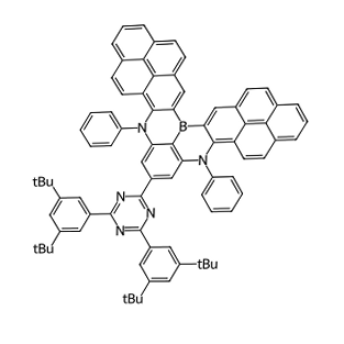 CC(C)(C)c1cc(-c2nc(-c3cc(C(C)(C)C)cc(C(C)(C)C)c3)nc(-c3cc4c5c(c3)N(c3ccccc3)c3c(cc6ccc7cccc8ccc3c6c78)B5c3cc5ccc6cccc7ccc(c3N4c3ccccc3)c5c67)n2)cc(C(C)(C)C)c1